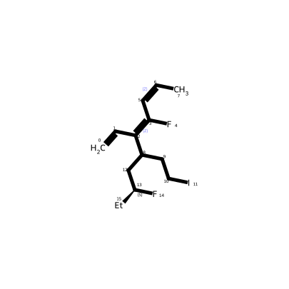 C=C/C(=C(F)\C=C/C)C(CCI)C[C@@H](F)CC